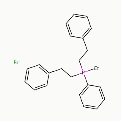 CC[P+](CCc1ccccc1)(CCc1ccccc1)c1ccccc1.[Br-]